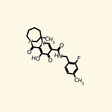 Cc1ccc(CNC(=O)c2cn3c(c(O)c2=O)C(=O)N2CCCC[C@@]3(C)C2)c(F)c1